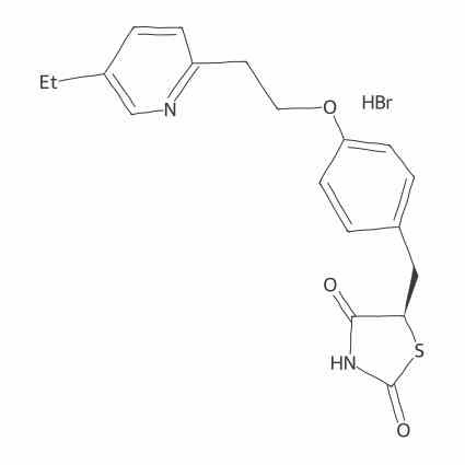 Br.CCc1ccc(CCOc2ccc(C[C@H]3SC(=O)NC3=O)cc2)nc1